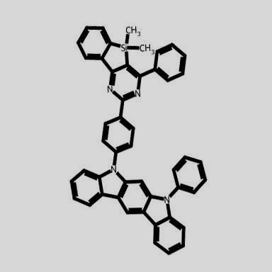 C[Si]1(C)c2ccccc2-c2nc(-c3ccc(-n4c5ccccc5c5cc6c7ccccc7n(-c7ccccc7)c6cc54)cc3)nc(-c3ccccc3)c21